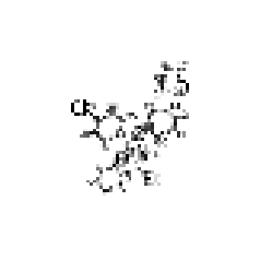 CCC(c1ccccc1)N(Cc1ccc(C2=NCCO2)cc1)S(=O)(=O)c1ccc(Cl)cc1